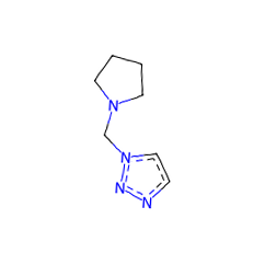 c1cn(CN2CCCC2)nn1